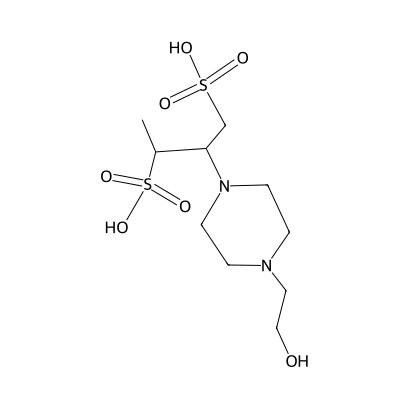 CC(C(CS(=O)(=O)O)N1CCN(CCO)CC1)S(=O)(=O)O